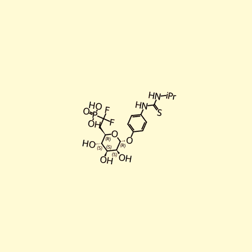 CC(C)NC(=S)Nc1ccc(O[C@H]2O[C@H](CC(F)(F)P(=O)(O)O)[C@@H](O)[C@H](O)[C@@H]2O)cc1